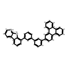 c1cc(-c2cccc(-c3cccc4c3oc3ncccc34)c2)cc(-c2ccc3c4ccccc4c4ccccc4c3c2)c1